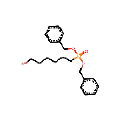 O=P(CCCCCCBr)(OCc1ccccc1)OCc1ccccc1